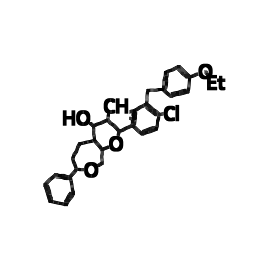 CCOc1ccc(Cc2cc(C3OC4COC(c5ccccc5)CCC4C(O)C3C)ccc2Cl)cc1